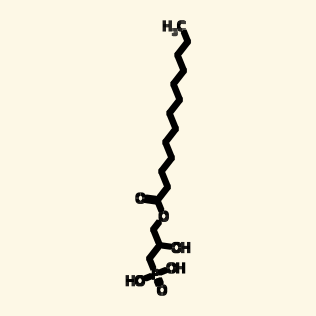 CCCCCCCCCCCCC(=O)OCC(O)CP(=O)(O)O